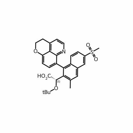 Cc1cc2cc(S(C)(=O)=O)ccc2c(-c2ccc3c4c(ccnc24)CCO3)c1[C@H](OC(C)(C)C)C(=O)O